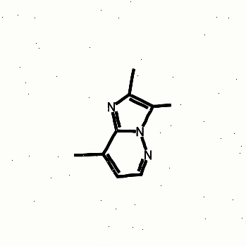 Cc1nc2c(C)ccnn2c1C